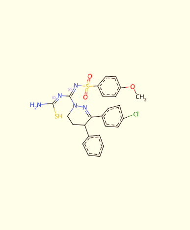 COc1ccc(S(=O)(=O)/N=C(/N=C(/N)S)N2CCC(c3ccccc3)C(c3ccc(Cl)cc3)=N2)cc1